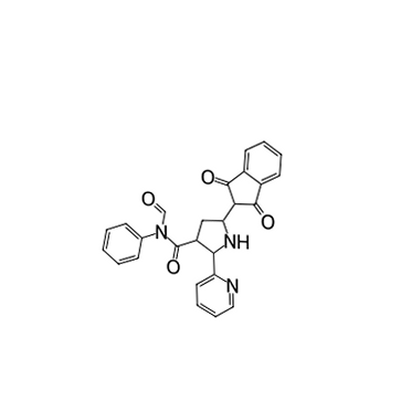 O=CN(C(=O)C1CC(C2C(=O)c3ccccc3C2=O)NC1c1ccccn1)c1ccccc1